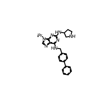 CC(C)n1cnc2c(NCc3ccc(-c4ccccc4)cc3)nc(NC3CCNC3)nc21